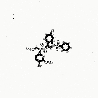 COCN(c1ccc(Br)c(OC)n1)S(=O)(=O)c1cn(S(=O)(=O)c2ccccc2)c2cc(Cl)ccc12